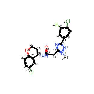 CCn1nc(-c2ccc(Cl)c(F)c2)nc1CC(=O)N[C@H]1CCOc2ccc(Cl)cc21